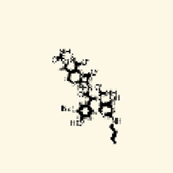 CC=CCNc1ncc(N(C(N)=O)C(C(=O)NC2C(=O)N3C(C(=O)[O-])=C(COC(N)=O)CS[C@@H]23)c2ccc(O)cc2)c(O)n1.[Na+]